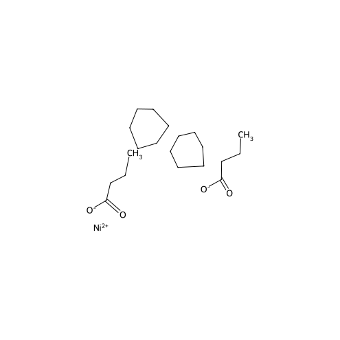 C1CCCCC1.C1CCCCC1.CCCC(=O)[O-].CCCC(=O)[O-].[Ni+2]